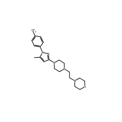 Cc1cc(N2CCN(CCN3CCOCC3)CC2)nn1-c1ccc(C(F)(F)F)cc1